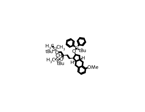 COc1cccc2c1C[C@H]1C[C@H](O[Si](c3ccccc3)(c3ccccc3)C(C)(C)C)[C@H](CC[C@H](CO[Si](C)(C)C(C)(C)C)O[Si](C)(C)C(C)(C)C)[C@@H]1C2